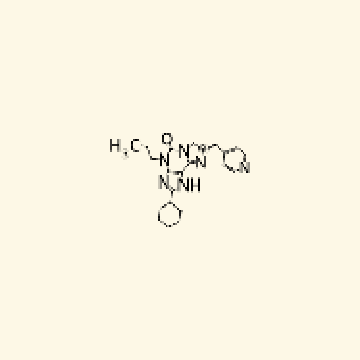 CCCN1C(=O)N2C[C@@H](Cc3ccncc3)N=C2c2[nH]c(C3CCCCC3)nc21